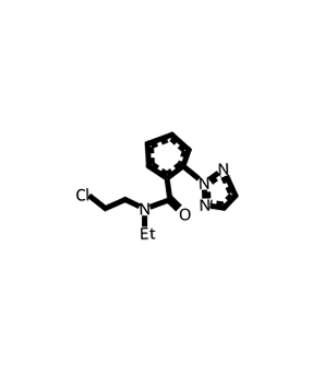 CCN(CCCl)C(=O)c1ccccc1-n1nccn1